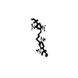 CCC(C)(C)c1cc(N(C)C)c(CCCCc2cc(N(C)C)c(C(C)(CC)CC)cc2N(C)C)cc1N(C)C